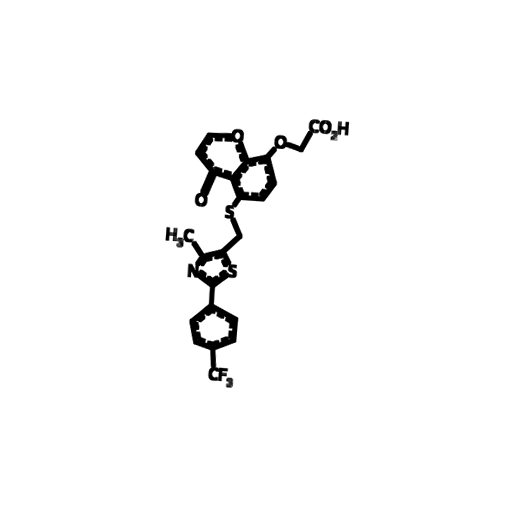 Cc1nc(-c2ccc(C(F)(F)F)cc2)sc1CSc1ccc(OCC(=O)O)c2occc(=O)c12